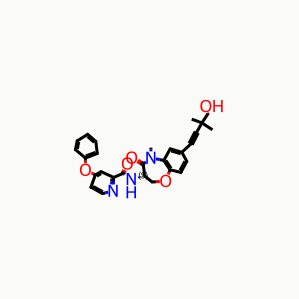 CN1C(=O)[C@@H](NC(=O)c2cc(Oc3ccccc3)ccn2)COc2ccc(C#CC(C)(C)CO)cc21